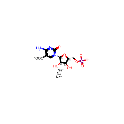 Nc1nc(=O)n([C@@H]2O[C@H](COP(=O)([O-])[O-])[C@@H](O)[C@H]2O)cc1C(=O)[O-].[Na+].[Na+].[Na+]